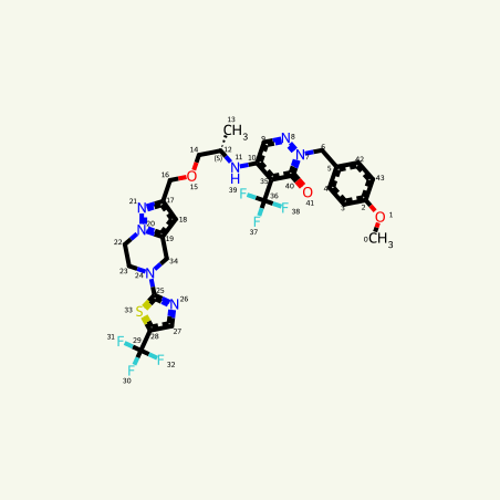 COc1ccc(Cn2ncc(N[C@@H](C)COCc3cc4n(n3)CCN(c3ncc(C(F)(F)F)s3)C4)c(C(F)(F)F)c2=O)cc1